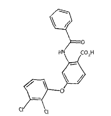 O=C(Nc1cc(Oc2cccc(Cl)c2Cl)ccc1C(=O)O)c1ccccc1